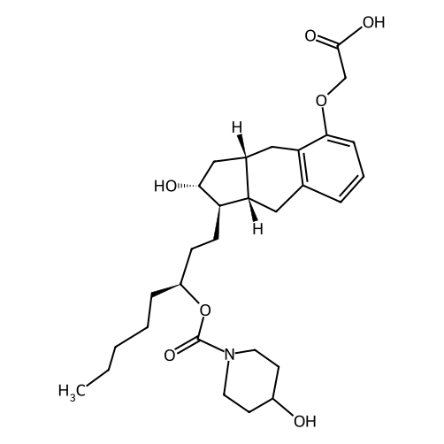 CCCCC[C@@H](CC[C@@H]1[C@H]2Cc3cccc(OCC(=O)O)c3C[C@H]2C[C@H]1O)OC(=O)N1CCC(O)CC1